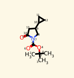 CC(C)(C)OC(=O)N1CC(C2CC2)CC1=O